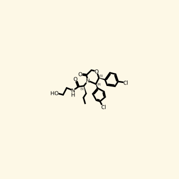 CCC[C@@H](C(=O)NCCO)N1C(=O)CO[C@@H](c2ccc(Cl)cc2)[C@H]1c1ccc(Cl)cc1